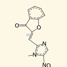 Cn1c([N+](=O)[O-])cnc1/C=C1\Oc2ccccc2C1=O